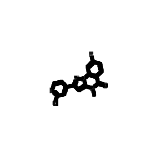 Cn1c(=O)c2ccc(F)cc2n2nc(-c3ccnc(Cl)c3)cc12